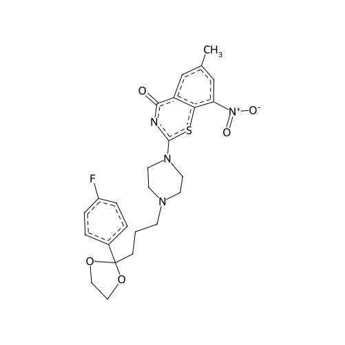 Cc1cc([N+](=O)[O-])c2sc(N3CCN(CCCC4(c5ccc(F)cc5)OCCO4)CC3)nc(=O)c2c1